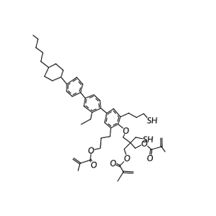 C=C(C)C(=O)OCCCc1cc(-c2ccc(-c3ccc(C4CCC(CCCCC)CC4)cc3)cc2CC)cc(CCCS)c1OCC(CS)(COC(=O)C(=C)C)COC(=O)C(=C)C